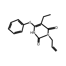 C=CCn1c(=O)[nH]c(Sc2ccccc2)c(CC)c1=O